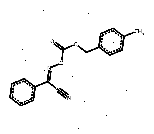 Cc1ccc(COC(=O)O/N=C(\C#N)c2ccccc2)cc1